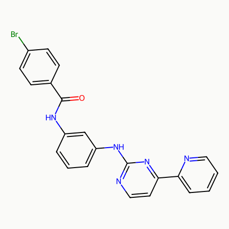 O=C(Nc1cccc(Nc2nccc(-c3ccccn3)n2)c1)c1ccc(Br)cc1